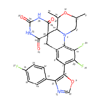 CC1CN2c3c(cc(-c4ocnc4-c4ccc(F)cc4)c(F)c3F)CC3(C(=O)NC(=O)NC3=O)C2C(C)O1